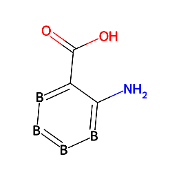 Nc1bbbbc1C(=O)O